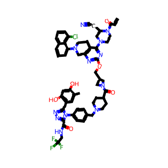 C=CC(=O)N1CCN(c2nc(OCC3CN(C(=O)C4CCN(Cc5ccc(-n6c(C(=O)NCC(F)(F)F)nnc6-c6cc(C)c(O)cc6O)cc5)CC4)C3)nc3c2CCN(c2cccc4cccc(Cl)c24)C3)CC1CC#N